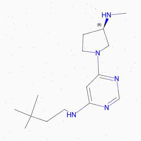 CN[C@@H]1CCN(c2cc(NCCC(C)(C)C)ncn2)C1